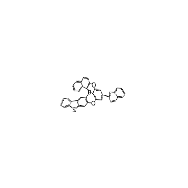 c1ccc2cc(-c3cc4c5c(c3)Oc3ccc6ccccc6c3B5c3cc5c(cc3O4)sc3ccccc35)ccc2c1